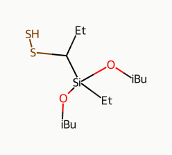 CCC(C)O[Si](CC)(OC(C)CC)C(CC)SS